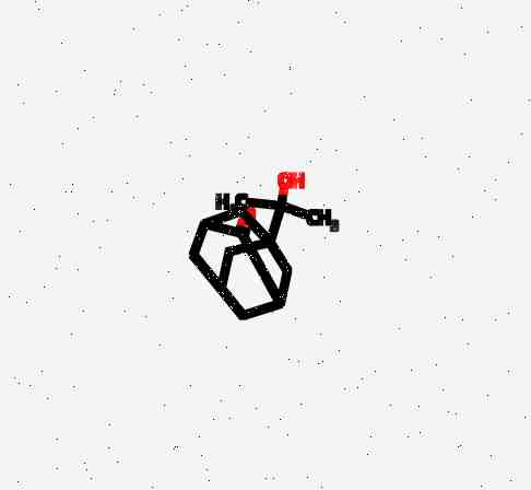 CC(C)(O)C12CC3CC(C1)C(=O)C(C3)C2